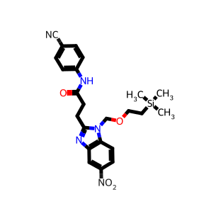 C[Si](C)(C)CCOCn1c(CCC(=O)Nc2ccc(C#N)cc2)nc2cc([N+](=O)[O-])ccc21